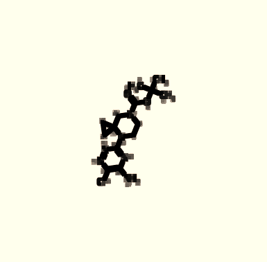 CC(C)(C)OC(=O)N1CCN(c2nnc(Cl)c(N)n2)C2(CC2)C1